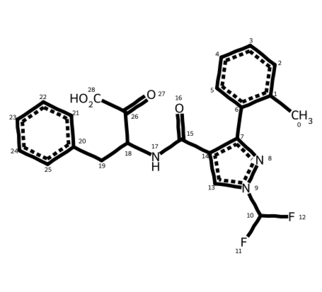 Cc1ccccc1-c1nn(C(F)F)cc1C(=O)NC(Cc1ccccc1)C(=O)C(=O)O